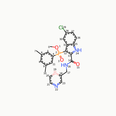 COP(=O)(c1cc(C)cc(C)c1)c1c(C(=O)NCc2bccnc2)[nH]c2ccc(Cl)cc12